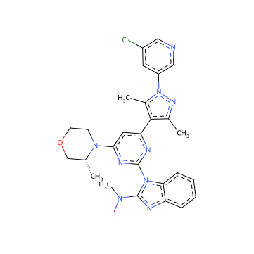 Cc1nn(-c2cncc(Cl)c2)c(C)c1-c1cc(N2CCOC[C@H]2C)nc(-n2c(N(C)I)nc3ccccc32)n1